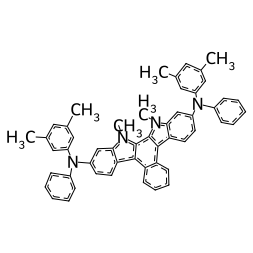 Cc1cc(C)cc(N(c2ccccc2)c2ccc3c4c5ccccc5c5c6ccc(N(c7ccccc7)c7cc(C)cc(C)c7)cc6n(C)c5c4n(C)c3c2)c1